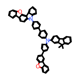 CC1(C)c2ccccc2-c2ccc(N(c3ccc(-c4ccc(-n5c6ccccc6c6c7oc8ccccc8c7ccc65)cc4)cc3)c3ccc(-c4ccc5oc6ccccc6c5c4)cc3)cc21